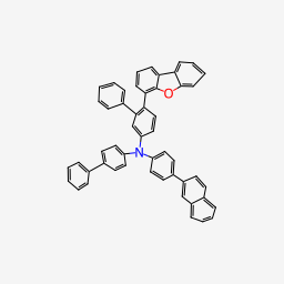 c1ccc(-c2ccc(N(c3ccc(-c4ccc5ccccc5c4)cc3)c3ccc(-c4cccc5c4oc4ccccc45)c(-c4ccccc4)c3)cc2)cc1